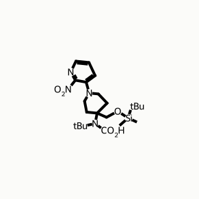 CC(C)(C)N(C(=O)O)C1(CO[Si](C)(C)C(C)(C)C)CCN(c2cccnc2[N+](=O)[O-])CC1